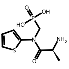 C[C@H](N)C(=O)N(CP(=O)(O)O)c1cccs1